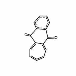 O=C1C2=CC=C=CC=C2C(=O)c2ccccc21